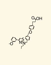 CCCN(Cc1ccc(COc2ccc(CCC(=O)O)cc2)cc1)c1nc(-c2cccc(OC)c2)cs1